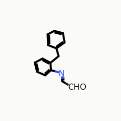 O=CC=Nc1ccccc1Cc1ccccc1